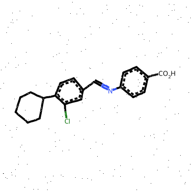 O=C(O)c1ccc(N=Cc2ccc(C3CCCCC3)c(Cl)c2)cc1